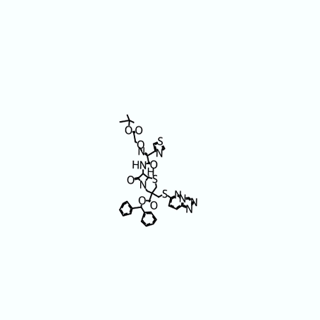 CC(C)(C)OC(=O)CON=C(C(=O)NC1C(=O)N2CC(CSc3ccc4nncn4n3)(C(=O)OC(c3ccccc3)c3ccccc3)CS[C@H]12)c1cscn1